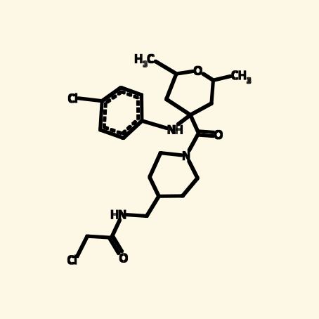 CC1CC(Nc2ccc(Cl)cc2)(C(=O)N2CCC(CNC(=O)CCl)CC2)CC(C)O1